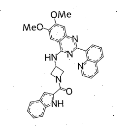 COc1cc2nc(-c3cccc4cccnc34)nc(NC3CN(C(=O)c4cc5ccccc5[nH]4)C3)c2cc1OC